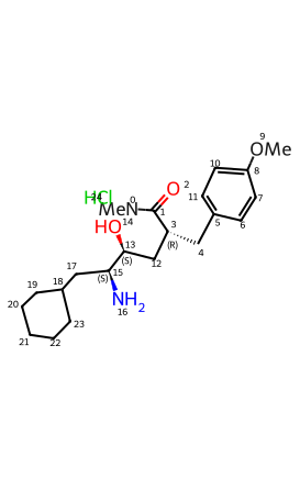 CNC(=O)[C@H](Cc1ccc(OC)cc1)C[C@H](O)[C@@H](N)CC1CCCCC1.Cl